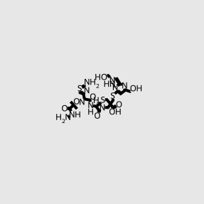 CC(C)(ON=C(C(=O)NC1C(=O)N2CC(CSC3=CC(CO)=NC4=CN(CO)NN43)(C(=O)O)CS[C@H]12)c1csc(N)n1)C(=O)NN